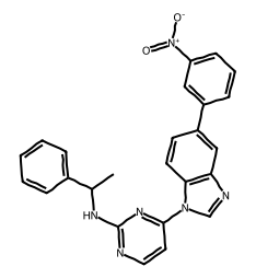 CC(Nc1nccc(-n2cnc3cc(-c4cccc([N+](=O)[O-])c4)ccc32)n1)c1ccccc1